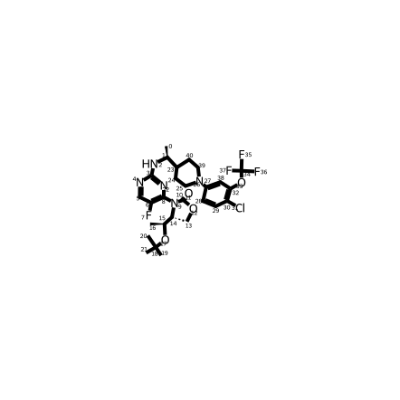 C[C@H](Nc1ncc(F)c(N2C(=O)OC[C@@H]2[C@H](C)OC(C)(C)C)n1)C1CCN(c2ccc(Cl)c(OC(F)(F)F)c2)CC1